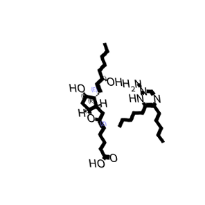 CCCCCC1=C(CCCCC)NN(N)C=N1.CCCCC[C@H](O)/C=C/[C@@H]1[C@H]2C/C(=C/CCCC(=O)O)O[C@H]2C[C@H]1O